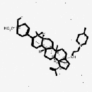 C=C(C)[C@@H]1CC[C@]2(NCCN3CCC(C)CC3)CC[C@]3(C)[C@H](CC[C@@H]4[C@@]5(C)CC=C(C6=CC[C@@](CF)(C(=O)O)CC6)C(C)(C)[C@@H]5CC[C@]43C)[C@@H]12